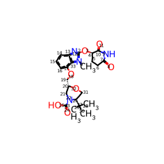 Cn1c(O[C@@H]2CCC(=O)NC2=O)nc2cccc(OC[C@H]3CN(C(=O)O)[C@H](C(C)(C)C)CO3)c21